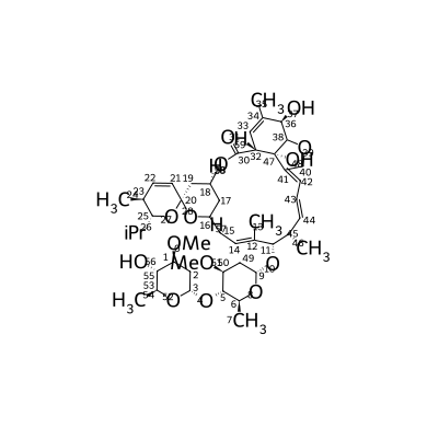 CO[C@H]1C[C@H](O[C@H]2[C@H](C)O[C@@H](O[C@@H]3/C(C)=C/C[C@@H]4C[C@@H](C[C@]5(C=C[C@H](C)[C@@H](C(C)C)O5)O4)OC(=O)[C@@H]4C=C(C)[C@@H](O)C5OC/C(=C\C=C\[C@@H]3C)[C@]54O)C[C@@H]2OC)O[C@@H](C)[C@@H]1O